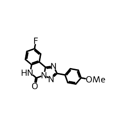 COc1ccc(-c2nc3c4cc(F)ccc4[nH]c(=O)n3n2)cc1